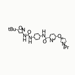 CC(C)N1CC[C@@H](Oc2ccc(C(=O)Nc3ccc(NC(=O)Nc4cc(C(C)(C)C)on4)cc3)nc2)C1